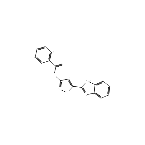 O=C(Oc1cc(-c2nc3ccccc3[nH]2)[nH]n1)c1ccccc1